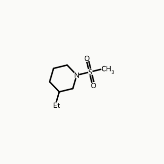 [CH2]CC1CCCN(S(C)(=O)=O)C1